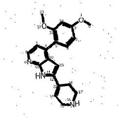 COc1ccc(-c2ccnc3[nH]c(C4=CCNCC4)cc23)c(OC)c1